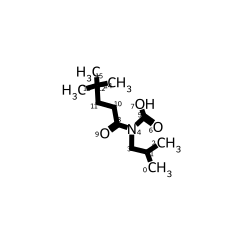 CC(C)CN(C(=O)O)C(=O)CCC(C)(C)C